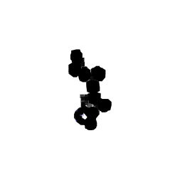 C=C1/C=C\C=C/Cc2ccccc2-c2ccc(-n3c4ccccc4c4cc(-c5ccc(N(c6ccccc6)c6ccc(-c7cccc8c7sc7ccccc78)cc6)cc5)ccc43)cc21